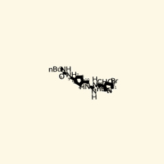 CCCCNC(=O)NCc1ccc(CNC(=N)NC(C=O)(CCCC)c2cncc(Br)c2)cc1